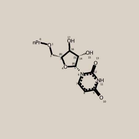 CCCOC[C@H]1O[C@@H](n2ccc(=O)[nH]c2=O)[C@@H](O)C1O